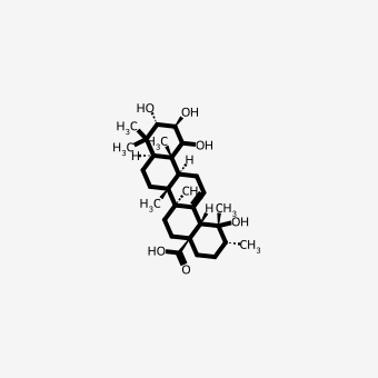 C[C@@H]1CC[C@]2(C(=O)O)CC[C@]3(C)C(=CC[C@@H]4[C@@]5(C)C(O)[C@H](O)[C@@H](O)C(C)(C)[C@@H]5CC[C@]43C)[C@@H]2[C@]1(C)O